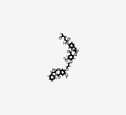 COc1cc2c(cc1OCCCOc1cc3c(cc1OC)C(=O)N1c4cc(NC(=O)CCC(C)=O)ccc4C[C@H]1C=N3)N=C[C@@H]1Cc3ccccc3N1C2=O